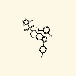 Cn1nnnc1S(=N)(=O)N1CCC2=Cc3c(cnn3-c3ccc(F)cc3)C[C@]2(C(=O)c2cc(C(F)(F)F)ccn2)C1